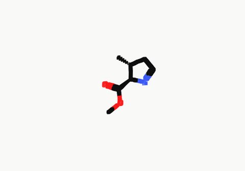 COC(=O)[C@@H]1N=CC[C@H]1C